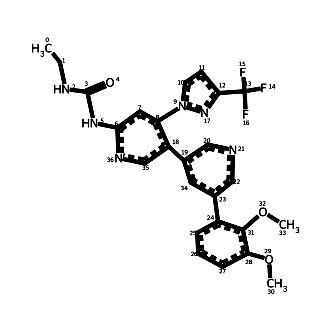 CCNC(=O)Nc1cc(-n2ccc(C(F)(F)F)n2)c(-c2cncc(-c3cccc(OC)c3OC)c2)cn1